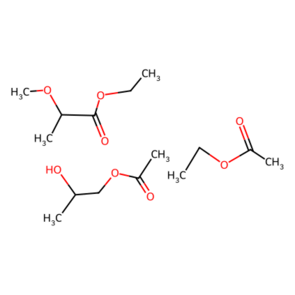 CC(=O)OCC(C)O.CCOC(=O)C(C)OC.CCOC(C)=O